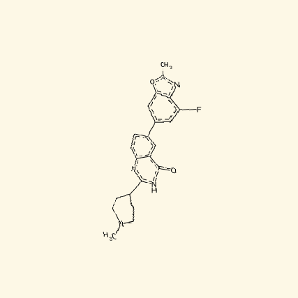 Cc1nc2c(F)cc(-c3ccc4nc(C5CCN(C)CC5)[nH]c(=O)c4c3)cc2o1